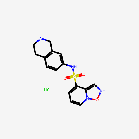 Cl.O=S(=O)(Nc1ccc2c(c1)CNCC2)C1=CC=CN2ONC=C12